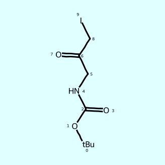 CC(C)(C)OC(=O)NCC(=O)CI